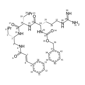 CC(C)C[C@@H](CNC(=O)/C=C/c1ccccc1)NC(=O)[C@H](CC(C)C)NC(=O)[C@H](CCCNC(=N)N)NC(=O)OCc1ccccc1